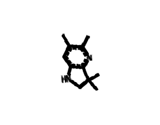 Cc1cc2c(nc1C)C(C)(C)CN2